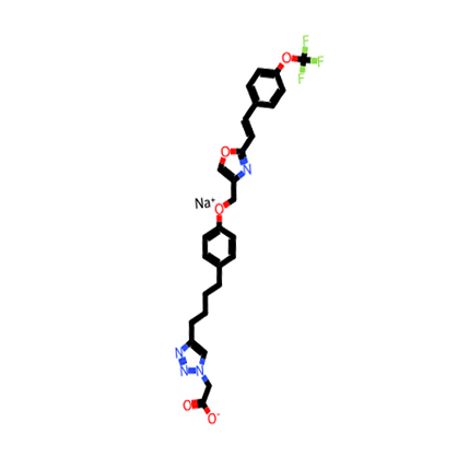 O=C([O-])Cn1cc(CCCCc2ccc(OCc3coc(/C=C/c4ccc(OC(F)(F)F)cc4)n3)cc2)nn1.[Na+]